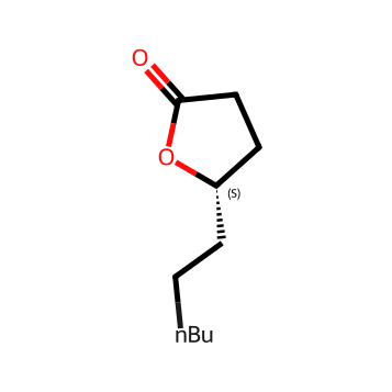 CCCCCC[C@H]1CCC(=O)O1